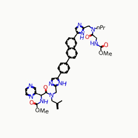 C=C(C)CN(Cc1ncc(-c2ccc(-c3ccc4cc(-c5cnc(CN(CCC)C(=O)CNC(=O)OC)[nH]5)ccc4c3)cc2)[nH]1)C(=O)C(NC(=O)OC)c1cnccn1